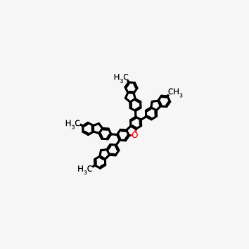 Cc1ccc2c(c1)Cc1cc(-c3cc4oc5cc(-c6ccc7c(c6)Cc6cc(C)ccc6-7)c(-c6ccc7c(c6)Cc6cc(C)ccc6-7)cc5c4cc3-c3ccc4c(c3)Cc3cc(C)ccc3-4)ccc1-2